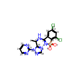 CC(NC1=NS(=O)(=O)c2c(Cl)cc(Cl)cc21)c1ncnn1-c1ncccn1